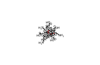 NCCCC[C@H](NC(=O)[C@H](CCC(=O)O)NC(=O)[C@H](CCCCN)NC(=O)[C@H](CCC(=O)O)NC(=O)[C@H](CCCCN)NC(=O)[C@H](CCC(=O)O)NC(=O)[C@H](CCCCN)NC(=O)[C@H](CCC(=O)O)NC(=O)[C@@H](N)CCCCN)C(=O)N[C@@H](CCC(=O)O)C(=O)O